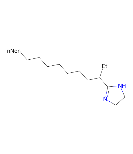 CCCCCCCCCCCCCCCCC(CC)C1=NCCN1